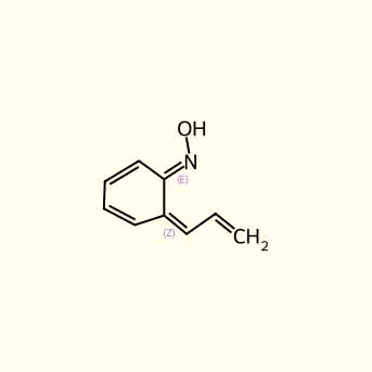 C=C/C=C1/C=CC=C/C1=N\O